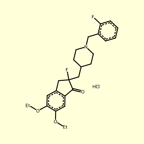 CCOc1cc2c(cc1OCC)C(=O)C(F)(CC1CCN(Cc3ccccc3F)CC1)C2.Cl